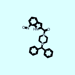 O=Nc1cccc2cc(C(=O)N3CCN(C(c4ccccc4)c4ccccc4)CC3)[nH]c12